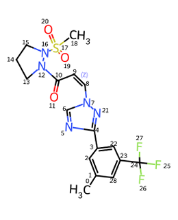 Cc1cc(-c2ncn(/C=C\C(=O)N3CCCN3S(C)(=O)=O)n2)cc(C(F)(F)F)c1